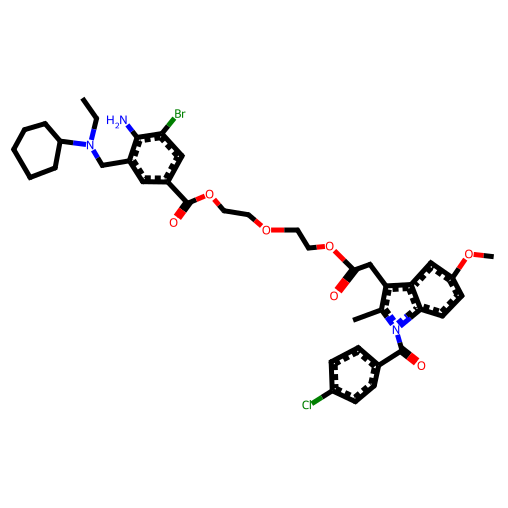 CCN(Cc1cc(C(=O)OCCOCCOC(=O)Cc2c(C)n(C(=O)c3ccc(Cl)cc3)c3ccc(OC)cc23)cc(Br)c1N)C1CCCCC1